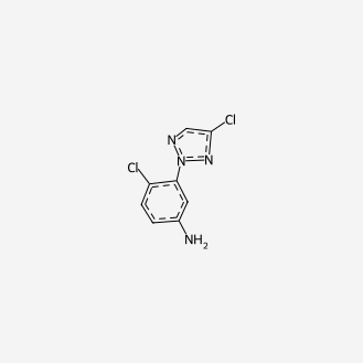 Nc1ccc(Cl)c(-n2ncc(Cl)n2)c1